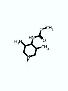 COC(=O)NC1C(C)CN(I)CC1N